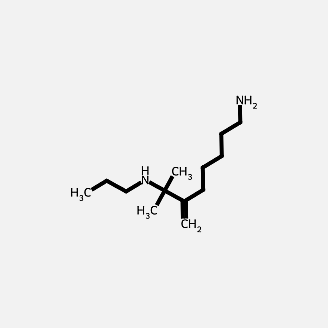 C=C(CCCCCN)C(C)(C)NCCC